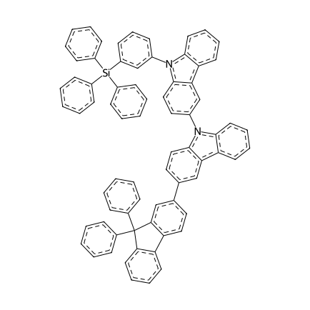 c1ccc(C2(c3ccccc3)c3ccccc3-c3ccc(-c4ccc5c(c4)c4ccccc4n5-c4ccc5c(c4)c4ccccc4n5-c4cccc([Si](c5ccccc5)(c5ccccc5)c5ccccc5)c4)cc32)cc1